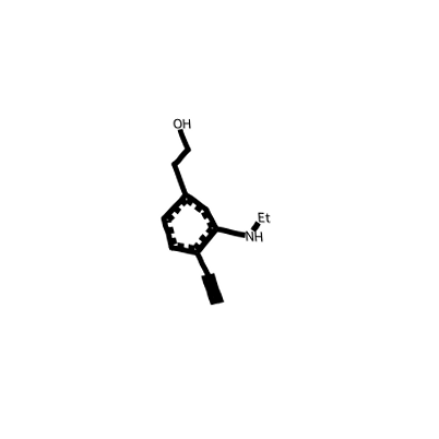 C#Cc1ccc(CCO)cc1NCC